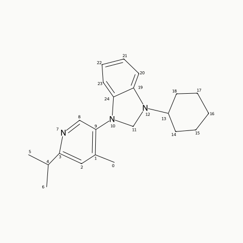 Cc1cc(C(C)C)ncc1N1CN(C2CCCCC2)c2ccccc21